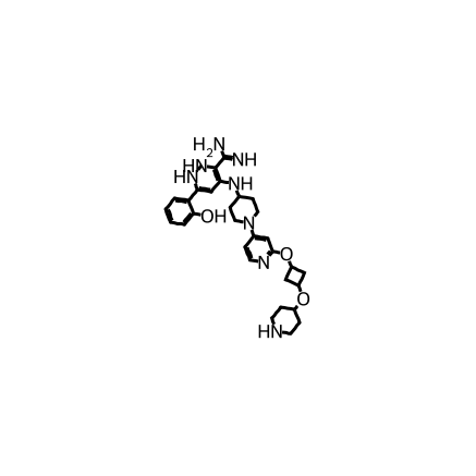 N=C(N)C1=C(NC2CCN(c3ccnc(OC4CC(OC5CCNCC5)C4)c3)CC2)C=C(c2ccccc2O)NN1